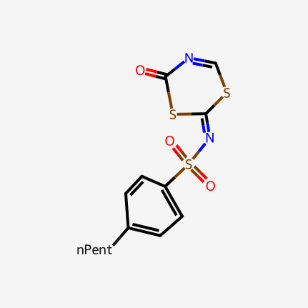 CCCCCc1ccc(S(=O)(=O)/N=c2/scnc(=O)s2)cc1